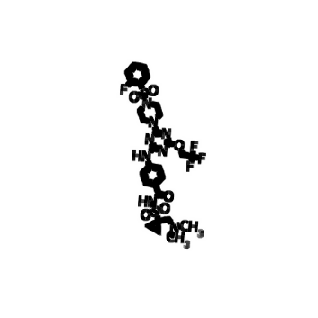 CN(C)CC1(S(=O)(=O)NC(=O)c2ccc(Nc3nc(OCC(F)(F)F)nc(N4CCN(S(=O)(=O)c5ccccc5F)CC4)n3)cc2)CC1